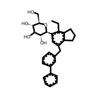 CCc1c([C@@H]2O[C@H](CO)[C@@H](O)C(O)[C@H]2O)cc(Cc2cccc(-c3ccccc3)c2)c2c1CCC2